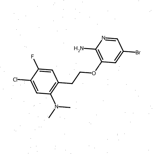 CN(C)c1cc(Cl)c(F)cc1CCOc1cc(Br)cnc1N